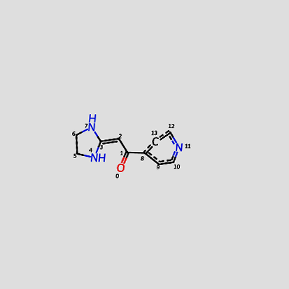 O=C(C=C1NCCN1)c1ccncc1